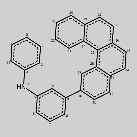 c1ccc(Nc2cccc(-c3ccc4ccc5ccc6ccccc6c5c4c3)c2)cc1